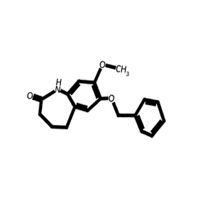 COc1cc2c(cc1OCc1ccccc1)CCCC(=O)N2